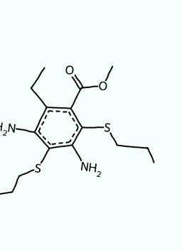 CCCSc1c(N)c(CC)c(C(=O)OC)c(SCCC)c1N